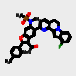 CNC(=O)c1c(-c2ccc(C)cc2)oc2cc(N(C)S(C)(=O)=O)c(-c3ccc4c(n3)-c3cc5c(F)cccc5n3CC4)cc12